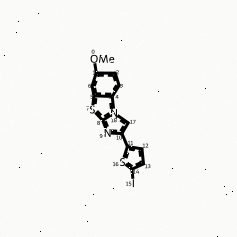 COc1ccc2c(c1)sc1nc(-c3ccc(I)s3)cn12